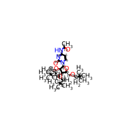 CC(=O)Nc1ccn([C@@H]2O[C@H](CO[SiH2]C(C)(C)C)C(O[SiH2]C(C)(C)C)C2O[Si](C)(C)C(C)(C)C)c(=O)n1